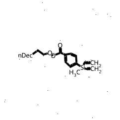 [CH2]CCCCCCCCCC[CH]OOC(=O)c1ccc([Si](C)(C=C)C=C)cc1